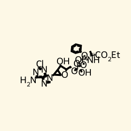 CCOC(=O)[C@H](C)NP(=O)(Oc1ccccc1)OP(=O)(O)OCC1OC2C(C1O)C2n1cnc2c(N)nc(Cl)nc21